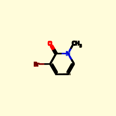 Cn1c[c]cc(Br)c1=O